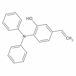 C=Cc1ccc(N(c2ccccc2)c2ccccc2)c(O)c1